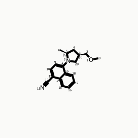 COC[C@@H]1C[C@H](C)N(c2ccc(C#N)c3ccccc23)C1